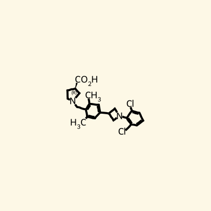 Cc1cc(C2CN(c3c(Cl)cccc3Cl)C2)cc(C)c1CN1CC[C@@H](C(=O)O)C1